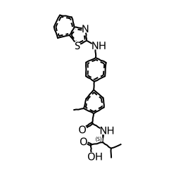 Cc1cc(-c2ccc(Nc3nc4ccccc4s3)cc2)ccc1C(=O)N[C@H](C(=O)O)C(C)C